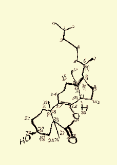 CC(C)CCC[C@@H](C)[C@H]1CC[C@H]2C3=C(CC[C@]12C)[C@@]1(C)CC[C@H](O)CC1(C)C(=O)O3